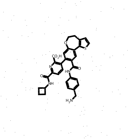 NCc1ccc(NC(=O)c2cc3c(cc2-c2ccc(C(=O)NC4CCC4)nc2C(=O)O)OCCc2ccsc2-3)cc1